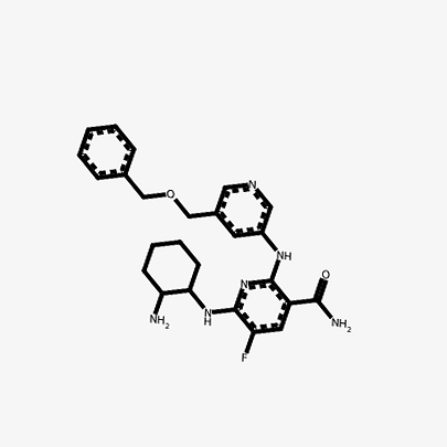 NC(=O)c1cc(F)c(NC2CCCCC2N)nc1Nc1cncc(COCc2ccccc2)c1